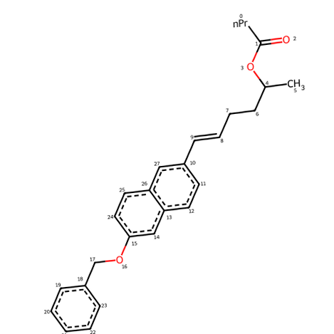 CCCC(=O)OC(C)CC/C=C/c1ccc2cc(OCc3ccccc3)ccc2c1